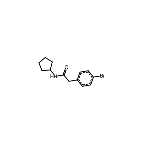 O=C(Cc1ccc(Br)cc1)NC1CCCC1